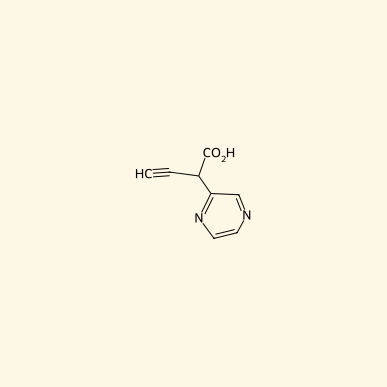 C#CC(C(=O)O)c1cnccn1